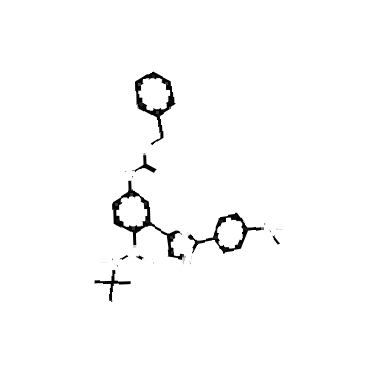 CNc1ccc(-c2ncc(-c3cc(NC(=O)OCc4ccccc4)ccc3[S+]([O-])NC(C)(C)C)s2)cc1